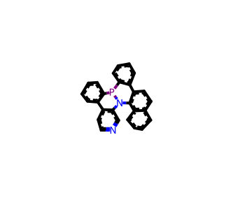 c1ccc2c(c1)-c1ccncc1N1c3c(ccc4ccccc34)-c3ccccc3P21